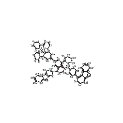 c1ccc(C2(c3ccccc3)c3ccccc3-c3cc(-c4cccc(-c5ccccc5N(c5ccc(-c6ccc7c(c6)sc6ccccc67)cc5)c5ccc(-c6cccc7oc8ccccc8c67)cc5)c4)ccc32)cc1